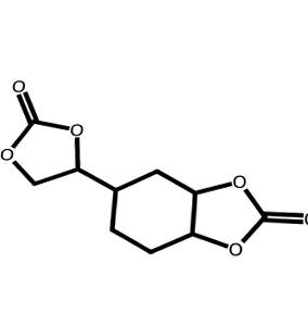 O=C1OCC(C2CCC3OC(=O)OC3C2)O1